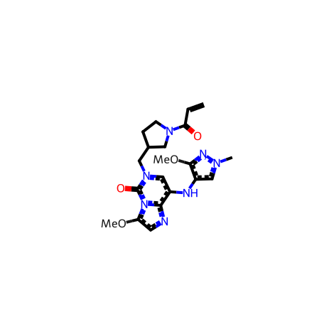 C=CC(=O)N1CCC(Cn2cc(Nc3cn(C)nc3OC)c3ncc(OC)n3c2=O)C1